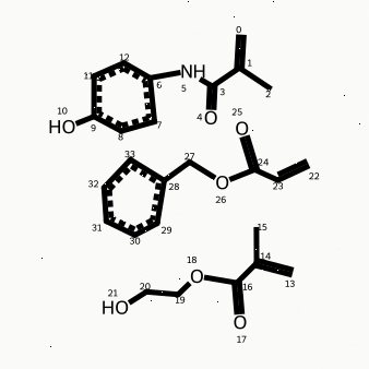 C=C(C)C(=O)Nc1ccc(O)cc1.C=C(C)C(=O)OCCO.C=CC(=O)OCc1ccccc1